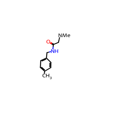 CNCC(=O)NCc1ccc(C)cc1